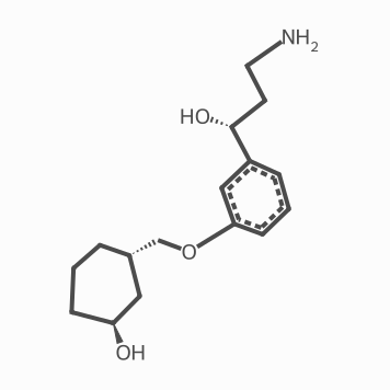 NCC[C@@H](O)c1cccc(OC[C@H]2CCC[C@H](O)C2)c1